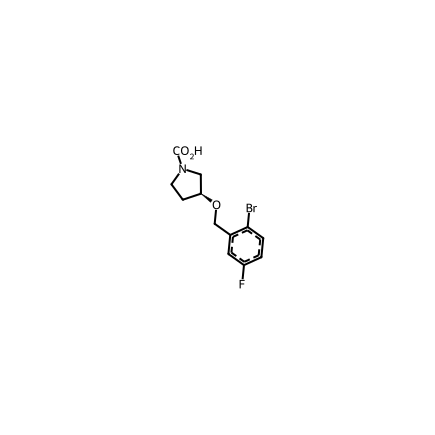 O=C(O)N1CC[C@H](OCc2cc(F)ccc2Br)C1